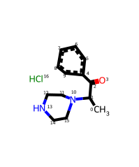 CC(C(=O)c1ccccc1)N1CCNCC1.Cl